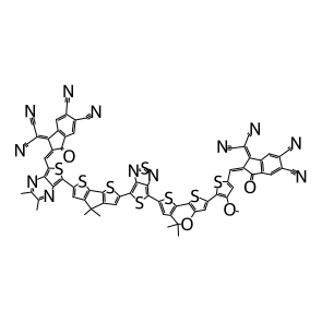 COc1cc(/C=C2\C(=O)c3cc(C#N)c(C#N)cc3C2=C(C#N)C#N)sc1-c1cc2c(s1)-c1sc(-c3sc(-c4cc5c(s4)-c4sc(-c6sc(/C=C7\C(=O)c8cc(C#N)c(C#N)cc8C7=C(C#N)C#N)c7nc(C)c(C)nc67)cc4C5(C)C)c4c3N=S=N4)cc1C(C)(C)O2